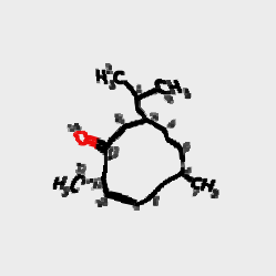 CC(C)[C@H]1CC[C@@H](C)C/C=C\[C@H](C)C(=O)C1